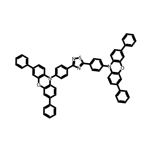 c1ccc(-c2ccc3c(c2)Oc2cc(-c4ccccc4)ccc2N3c2ccc(-c3nsc(-c4ccc(N5c6ccc(-c7ccccc7)cc6Oc6cc(-c7ccccc7)ccc65)cc4)n3)cc2)cc1